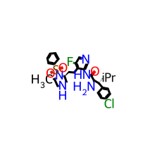 CC(C)[C@H](c1ccc(Cl)cc1)[C@H](N)C(=O)Nc1cncc(F)c1CC[C@H]1CNC[C@@H](C)N1S(=O)(=O)c1ccccc1